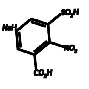 O=C(O)c1cccc(S(=O)(=O)O)c1[N+](=O)[O-].[NaH]